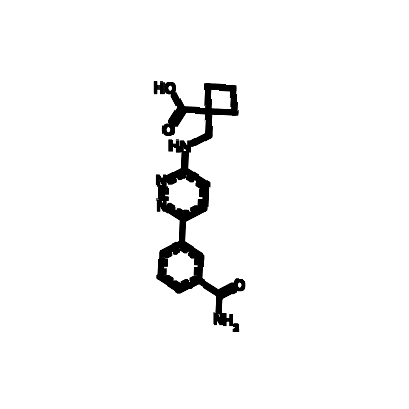 NC(=O)c1cccc(-c2ccc(NCC3(C(=O)O)CCC3)nn2)c1